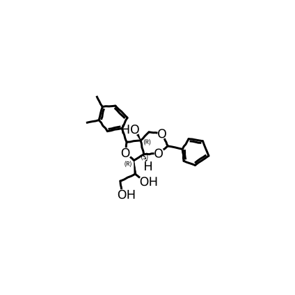 Cc1ccc(C2O[C@H](C(O)CO)[C@@H]3OC(c4ccccc4)OC[C@@]23O)cc1C